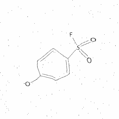 [O]c1ccc(S(=O)(=O)F)cc1